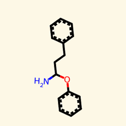 NC(CCc1ccccc1)Oc1ccccc1